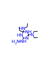 CCNC1(CC)NC(N(CC)CC)=NC(NN)N1